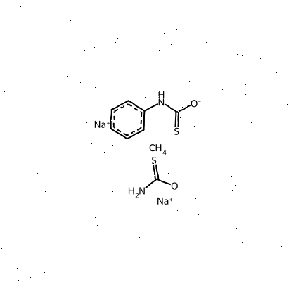 C.NC([O-])=S.[Na+].[Na+].[O-]C(=S)Nc1ccccc1